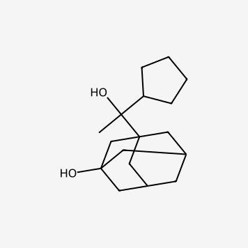 CC(O)(C1CCCC1)C12CC3CC(CC(O)(C3)C1)C2